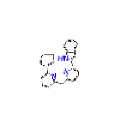 c1ccc(-c2cccc(Cc3cccc(-c4cc5ccccc5[nH]4)n3)n2)cc1